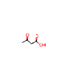 [CH2]C(=O)CC(=O)O